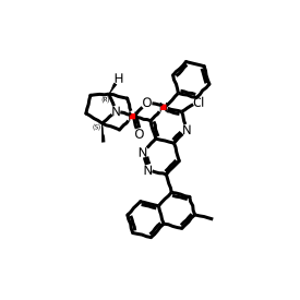 Cc1cc(-c2cc3nc(Cl)nc(N4C[C@H]5CC[C@@](C)(C4)N5C(=O)OCc4ccccc4)c3nn2)c2ccccc2c1